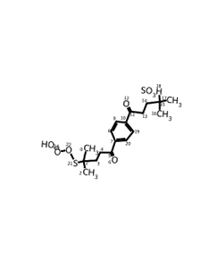 CC(C)(CCC(=O)c1ccc(C(=O)CCC(C)(C)S(=O)(=O)O)cc1)SOOO